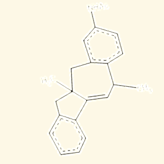 CC(=O)Nc1ccc2c(c1)CC1(C)Cc3ccccc3C1=CC2C